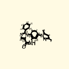 Cc1cc(C)n(-c2ccc3c(c2)[nH]c(=O)c2cnc(-c4ccccc4)n23)n1